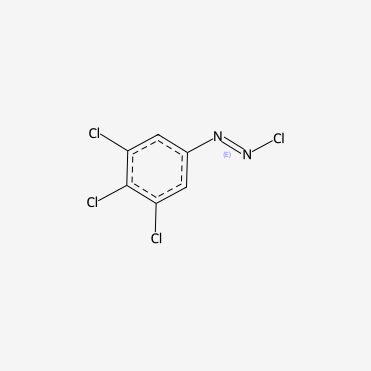 Cl/N=N/c1cc(Cl)c(Cl)c(Cl)c1